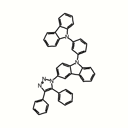 c1ccc(-c2nnn(-c3ccc4c(c3)c3ccccc3n4-c3cccc(-n4c5ccccc5c5ccccc54)c3)c2-c2ccccc2)cc1